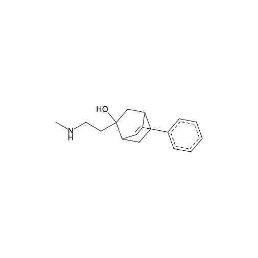 CNCCC1(O)CC2CCC1C=C2c1ccccc1